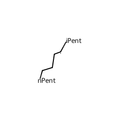 CCCCCCCC[CH]C(C)CCC